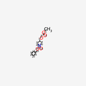 CCOC(=O)COCC1CCN(C(=O)OCc2ccccc2)CC1